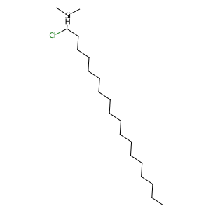 CCCCCCCCCCCCCCCCCC(Cl)[SiH](C)C